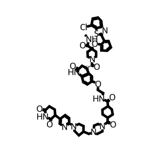 CNC(=O)C1(Oc2ccccc2-c2nc3cccc(Cl)c3s2)CCN(C(=O)[C@H]2CC(=O)Nc3ccc(OCCNC(=O)C4CCC(C(=O)N5CCN(CC6CCN(c7ccc(C8CCC(=O)NC8=O)cn7)CC6)CC5)CC4)cc32)CC1